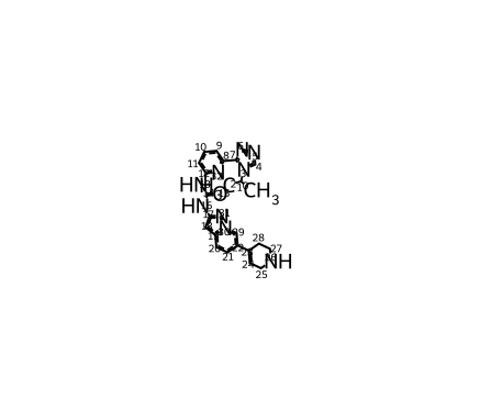 CC(C)n1cnnc1-c1cccc(NC(=O)Nc2cc3ccc(C4=CCNCC4)cn3n2)n1